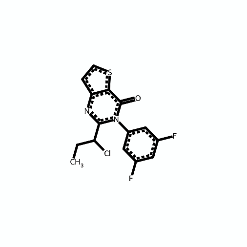 CCC(Cl)c1nc2ccsc2c(=O)n1-c1cc(F)cc(F)c1